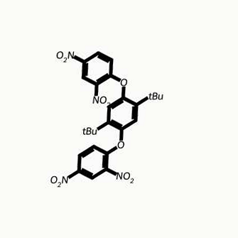 CC(C)(C)c1cc(Oc2ccc([N+](=O)[O-])cc2[N+](=O)[O-])c(C(C)(C)C)cc1Oc1ccc([N+](=O)[O-])cc1[N+](=O)[O-]